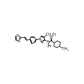 CCOC(=O)c1cn(-c2ccc(C=Cc3nccs3)cc2)nc1N(C(=O)C1CCC(C)CC1)C(C)C